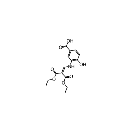 CCOC(=O)C(=CNc1cc(C(=O)O)ccc1O)C(=O)OCC